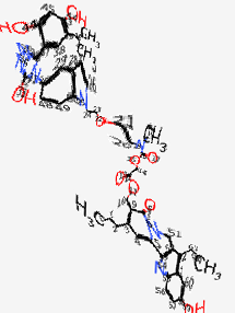 CCCc1cc2n(c(=O)c1COC(=O)COC(=O)N(C)CCOCCn1ccc3cc(-n4c(O)nnc4-c4cc(C(C)C)c(O)cc4O)ccc31)Cc1c-2nc2ccc(O)cc2c1CC